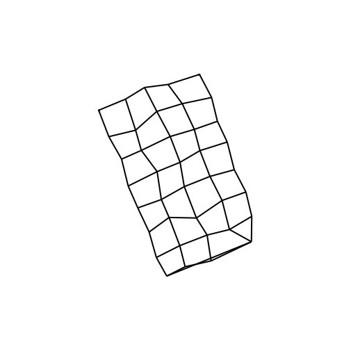 C1C2C3C4CC5C6C7C8C9C%10C%11%12C%13C%14C%11C%11%15C%14%16C%13C%13C%14C%17C%18C1C21C32C45C63C74C85C9(C%10%12%11)C%156C%13%16C%147C%178C%181C23C84C756